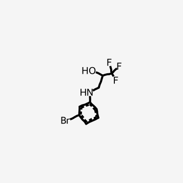 OC(CNc1cccc(Br)c1)C(F)(F)F